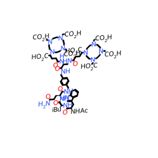 CCC(C)[C@H](NC(=O)[C@H](Cc1c[nH]c2ccccc12)NC(C)=O)C(=O)N[C@@H](CCC(N)=O)C(=O)NCc1ccc(CNC(=O)C(CNC(=O)CCC(C(=O)O)N2CCN(CC(=O)O)CCN(CC(=O)O)CCN(CC(=O)O)CC2)NC(=O)CCC(C(=O)O)N2CCN(CC(=O)O)CCN(CC(=O)O)CCN(CC(=O)O)CC2)cc1